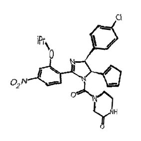 CC(C)Oc1cc([N+](=O)[O-])ccc1C1=N[C@@H](c2ccc(Cl)cc2)[C@@H](C2=CCC=C2)N1C(=O)N1CCNC(=O)C1